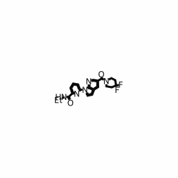 CCNC(=O)c1cccc(-n2ccc3cc(C(=O)N4CCC(F)(F)CC4)cnc32)n1